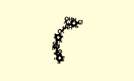 OC[C@H](NCCOc1ccc(-c2nc(-c3cc4ccccc4o3)cs2)cc1)c1ccc(Cl)nc1